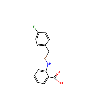 O=C(O)c1ccccc1NSCc1ccc(F)cc1